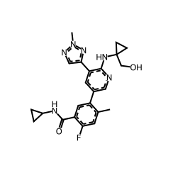 Cc1cc(F)c(C(=O)NC2CC2)cc1-c1cnc(NC2(CO)CC2)c(-c2cnn(C)n2)c1